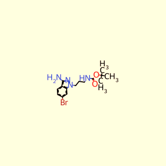 CC(C)(C)OC(=O)NCCCn1nc(N)c2ccc(Br)cc21